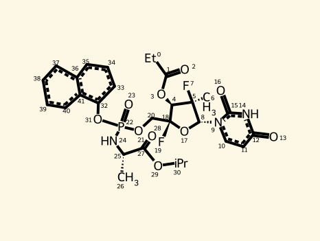 CCC(=O)O[C@H]1[C@@](C)(F)[C@H](n2ccc(=O)[nH]c2=O)O[C@]1(F)COP(=O)(N[C@@H](C)C(=O)OC(C)C)Oc1cccc2ccccc12